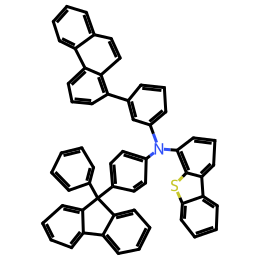 c1ccc(C2(c3ccc(N(c4cccc(-c5cccc6c5ccc5ccccc56)c4)c4cccc5c4sc4ccccc45)cc3)c3ccccc3-c3ccccc32)cc1